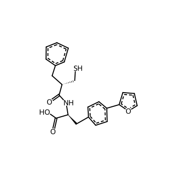 O=C(N[C@@H](Cc1ccc(-c2ccco2)cc1)C(=O)O)[C@@H](CS)Cc1ccccc1